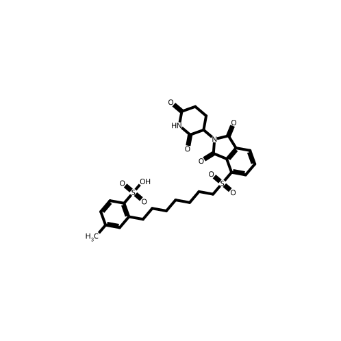 Cc1ccc(S(=O)(=O)O)c(CCCCCCCS(=O)(=O)c2cccc3c2C(=O)N(C2CCC(=O)NC2=O)C3=O)c1